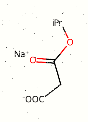 CC(C)OC(=O)CC(=O)[O-].[Na+]